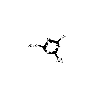 CCCc1nc(N)nc(OC)n1